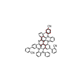 N#Cc1cccc(-c2cccc(-c3nc(-c4ccc(-c5ccccc5C#N)cc4N4c5ccccc5N(c5ccccc5)c5ccccc54)nc(-c4ccc(-c5ccccc5C#N)cc4N4c5ccccc5N(c5ccccc5)c5ccccc54)n3)c2)c1